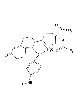 CNc1ccc(C2C[C@]3(C)C[C@](OC(C)=O)(C(C)=O)CCC3C3CCC4=CC(=O)CCC4=C23)cc1